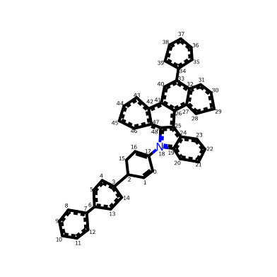 C1=CC(c2ccc(-c3ccccc3)cc2)CC=C1n1c2ccccc2c2c3c4ccccc4c(-c4ccccc4)cc3c3ccccc3c21